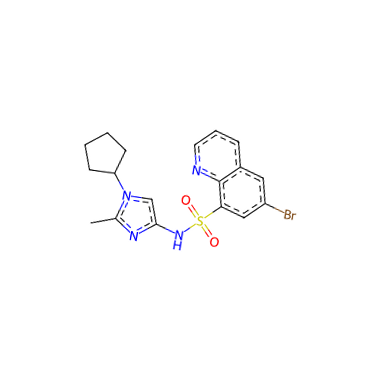 Cc1nc(NS(=O)(=O)c2cc(Br)cc3cccnc23)cn1C1CCCC1